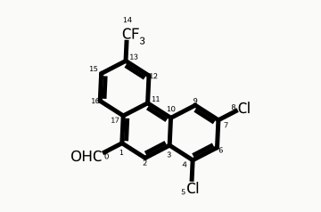 O=Cc1cc2c(Cl)cc(Cl)cc2c2cc(C(F)(F)F)ccc12